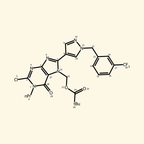 CCCn1c(Cl)nc2nc(-c3cnn(Cc4cccc(C(F)(F)F)c4)c3)n(COC(=O)C(C)(C)C)c2c1=O